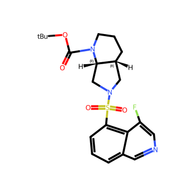 CC(C)(C)OC(=O)N1CCC[C@@H]2CN(S(=O)(=O)c3cccc4cncc(F)c34)C[C@@H]21